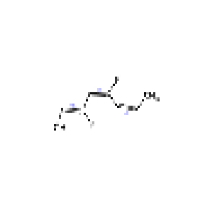 C\C=C/C(F)=C\C(F)=C\O